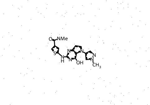 CNC(=O)c1csc(Nc2nc(O)c3c(ccn3-c3cnn(C)c3)n2)c1